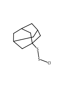 ClSSC12CC3CC(CC(C3)C1)C2